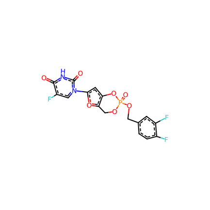 O=c1[nH]c(=O)n(-c2cc3c(o2)COP(=O)(OCc2ccc(F)c(F)c2)O3)cc1F